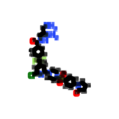 NCC(N)CNC(=O)[C@H]1CC[C@H](C(F)(F)c2cc(Cl)nc(N3CCN(S(=O)(=O)c4ccc(N5CCCC5=O)cc4)CC3)c2)CC1